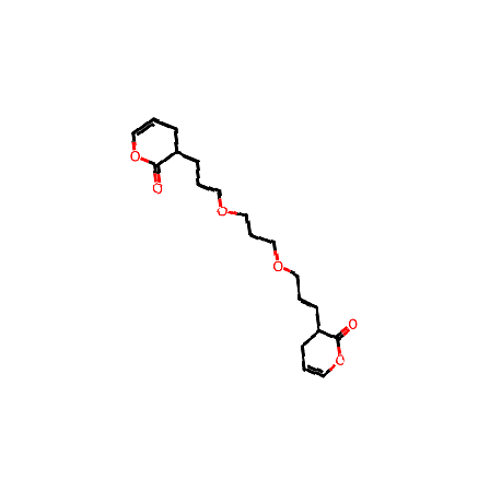 O=C1OC=CCC1CCCOCCCOCCCC1CC=COC1=O